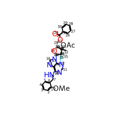 COc1ccccc1CNc1ncnc2c1ncn2[C@H]1O[C@H](COC(=O)c2ccccc2)[C@@](C)(OC(C)=O)[C@@]1(C)F